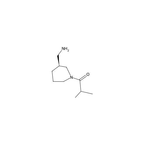 CC(C)C(=O)N1CCC[C@@H](CN)C1